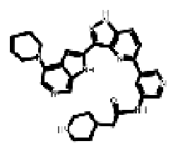 O=C(CC1CCNCC1)Nc1cncc(-c2ccc3[nH]nc(-c4cc5c(N6CCCCC6)cncc5[nH]4)c3n2)c1